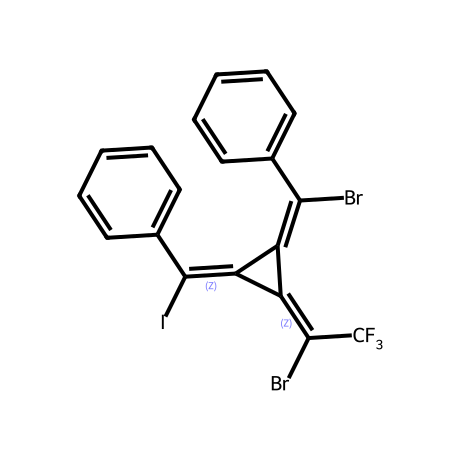 FC(F)(F)/C(Br)=C1\C(=C(Br)c2ccccc2)\C1=C(\I)c1ccccc1